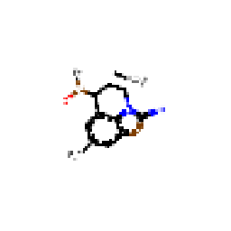 CC[S+]([O-])C1CCn2c(=N)sc3cc(C(F)(F)F)cc1c32.CS(=O)(=O)O